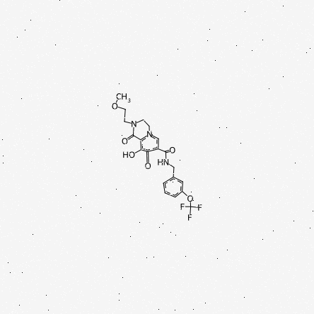 COCCN1CCn2cc(C(=O)NCc3cccc(OC(F)(F)F)c3)c(=O)c(O)c2C1=O